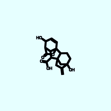 C=C1CC23CC1(O)CCC2C12C=CC(O)C(C(=O)O1)C2C3C(=O)O